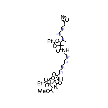 CCC(=O)OCC(C(C)OC)N(C)C(=O)C1(NC(=O)/C=C/C=C/C=C/C=C\CNC(=O)C(C)(C)C(OC(=O)CC)\C(C)=C/C=C\C=C\Cc2cnco2)COCO1